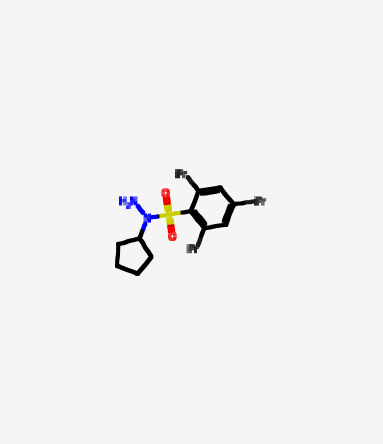 CC(C)c1cc(C(C)C)c(S(=O)(=O)N(N)C2CCCC2)c(C(C)C)c1